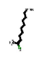 CCCCCCCCCCCCC/C=C(\C)Br